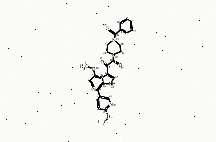 COc1ccc(-c2ncc(OC)c3c(C(=O)C(=O)N4CCN(C(=O)c5ccccc5)CC4)c[nH]c23)cn1